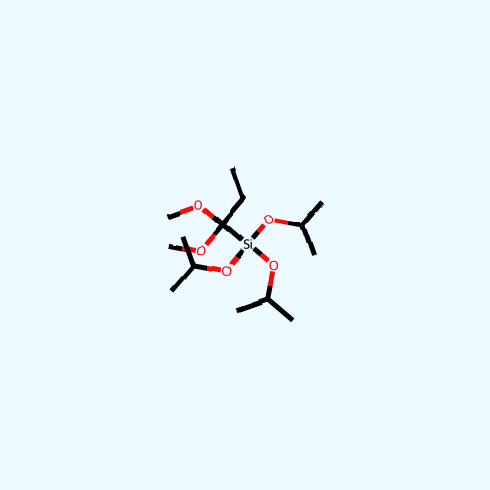 CCC(OC)(OC)[Si](OC(C)C)(OC(C)C)OC(C)C